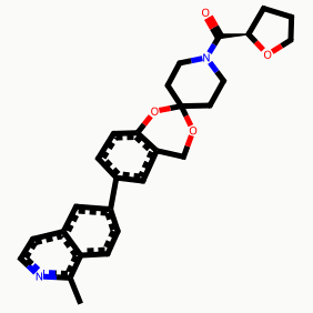 Cc1nccc2cc(-c3ccc4c(c3)COC3(CCN(C(=O)[C@H]5CCCO5)CC3)O4)ccc12